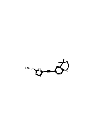 CCOC(=O)c1ccc(C#Cc2ccc3c(c2)C(C)(C)CCO3)o1